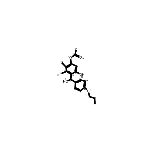 CCCOc1ccc(C(O)c2c(O)cc(OC(C)=O)c(C)c2F)cc1